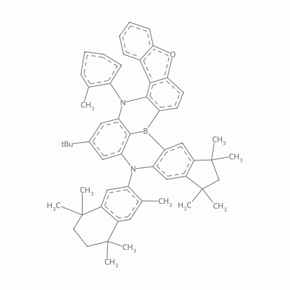 Cc1cc2c(cc1N1c3cc4c(cc3B3c5ccc6oc7ccccc7c6c5N(c5ccccc5C)c5cc(C(C)(C)C)cc1c53)C(C)(C)CC4(C)C)C(C)(C)CCC2(C)C